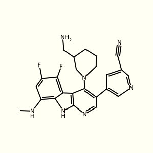 CNc1cc(F)c(F)c2c1[nH]c1ncc(-c3cncc(C#N)c3)c(N3CCCC(CN)C3)c12